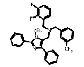 CCCCn1c(-c2ccccc2)nc(-c2ccccc2)c1CN(Cc1cccc(C(F)(F)F)c1)Cc1cccc(F)c1F